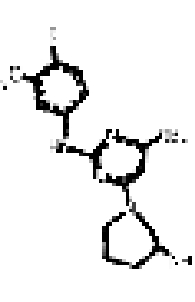 CCCCc1cc(N2CCCC(N)C2)nc(Nc2ccc(F)c(C(F)(F)F)c2)n1